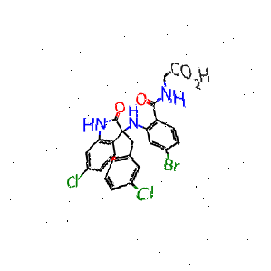 O=C(O)CNC(=O)c1ccc(Br)cc1NC1(Cc2cccc(Cl)c2)C(=O)Nc2cc(Cl)ccc21